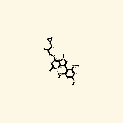 CNc1cc(NC)c(-c2cn(C)c3c(OCC(C)CC4CC4)cc(C)nc23)c(NC)c1